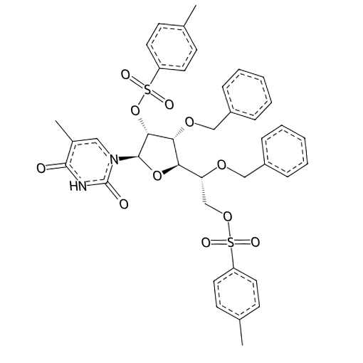 Cc1ccc(S(=O)(=O)OC[C@@H](OCc2ccccc2)[C@H]2O[C@@H](n3cc(C)c(=O)[nH]c3=O)[C@H](OS(=O)(=O)c3ccc(C)cc3)[C@@H]2OCc2ccccc2)cc1